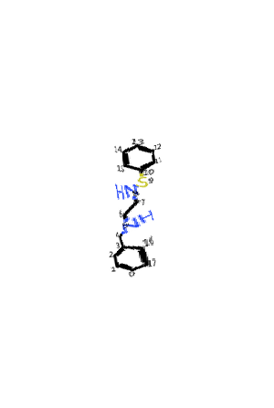 c1ccc(CNCCNSc2ccccc2)cc1